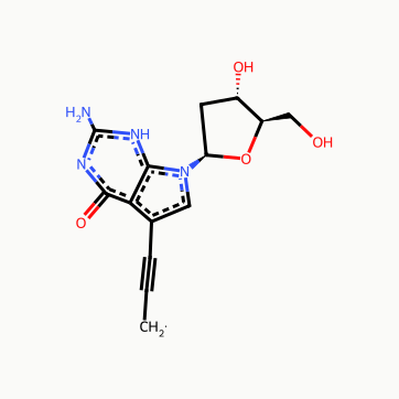 [CH2]C#Cc1cn([C@H]2C[C@H](O)[C@@H](CO)O2)c2[nH]c(N)nc(=O)c12